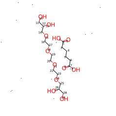 O=C(O)CCCCC(=O)O.OCC(O)COCCOCCOCCOCC(O)CO